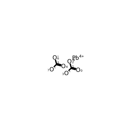 O=C([O-])[O-].O=C([O-])[O-].[Pb+4]